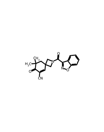 CC1(C)CC2(C=C(C#N)C1=O)CN(C(=O)c1noc3ccccc13)C2